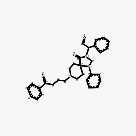 O=CC(c1ccccc1)N1CN(c2ccccc2)C2(CCN(CCCC(=O)c3ccccc3)CC2)C1=O